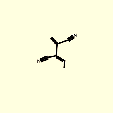 C=C(C#N)/C(C#N)=C/C